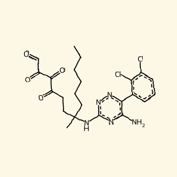 CCCCCCC(C)(CCC(=O)C(=O)C(=O)C=O)Nc1nnc(-c2cccc(Cl)c2Cl)c(N)n1